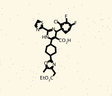 CCOC(=O)Cc1nc(C2CCC(C3=C(C(=O)O)C(c4ccc(F)c(F)c4Cl)N=C(c4nccs4)N3)CC2)oc1C